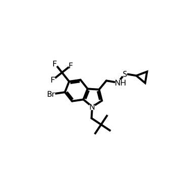 CC(C)(C)Cn1cc(CNSC2CC2)c2cc(C(F)(F)F)c(Br)cc21